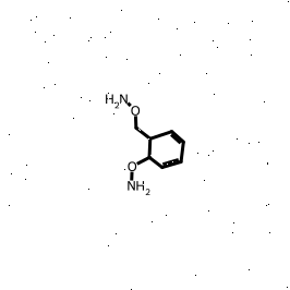 NOCC1C=CC=CC1ON